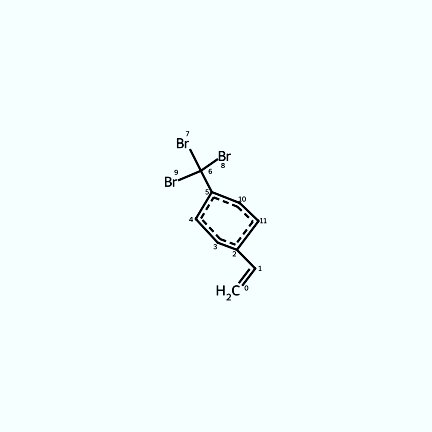 C=Cc1ccc(C(Br)(Br)Br)cc1